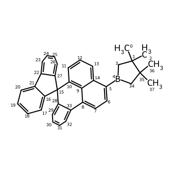 CC1(C)CB(c2ccc3c4c(cccc24)C2(c4ccccc4-c4ccccc42)c2ccccc2-3)CC1(C)C